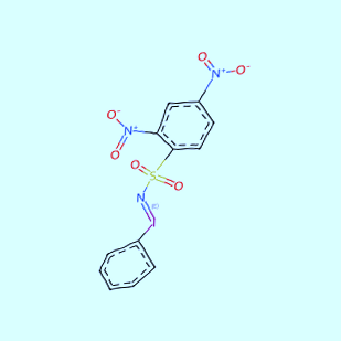 O=[N+]([O-])c1ccc(S(=O)(=O)/N=I/c2ccccc2)c([N+](=O)[O-])c1